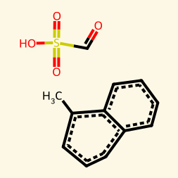 Cc1cccc2ccccc12.O=CS(=O)(=O)O